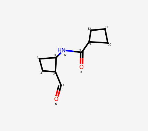 O=CC1CCC1NC(=O)C1CCC1